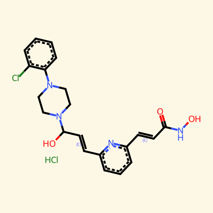 Cl.O=C(/C=C/c1cccc(/C=C/C(O)N2CCN(c3ccccc3Cl)CC2)n1)NO